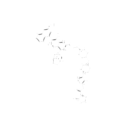 CCc1cccc2cc(O)cc(-c3ncc4c(N5CC6CCC(C5)N6)nc(OCCN5CCC(CN6CCN(c7cc(CC(=O)N8CCCC8C)on7)CC6)CC5)nc4c3F)c12